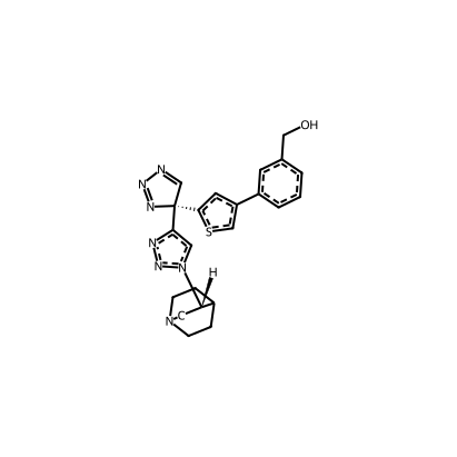 OCc1cccc(-c2csc([C@@]3(c4cn([C@H]5CN6CCC5CC6)nn4)C=NN=N3)c2)c1